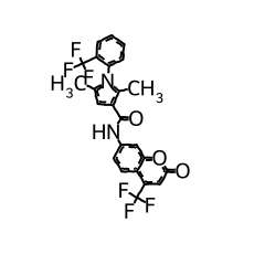 Cc1cc(C(=O)Nc2ccc3c(C(F)(F)F)cc(=O)oc3c2)c(C)n1-c1ccccc1C(F)(F)F